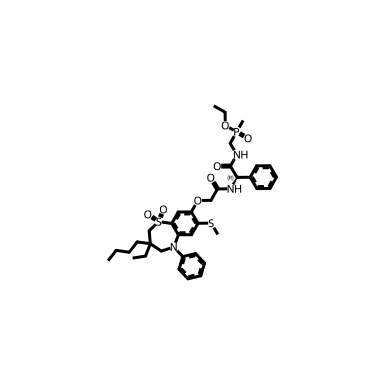 CCCCC1(CC)CN(c2ccccc2)c2cc(SC)c(OCC(=O)N[C@@H](C(=O)NCP(C)(=O)OCC)c3ccccc3)cc2S(=O)(=O)C1